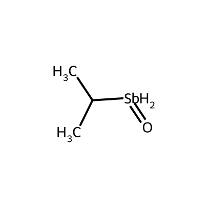 C[CH](C)[SbH2]=[O]